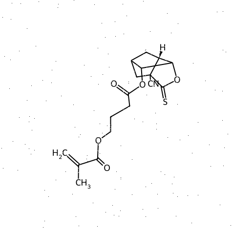 C=C(C)C(=O)OCCCC(=O)OC1C2C[C@@H]3C1OC(=S)C3(C#N)C2